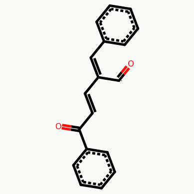 O=[C]C(C=CC(=O)c1ccccc1)=Cc1ccccc1